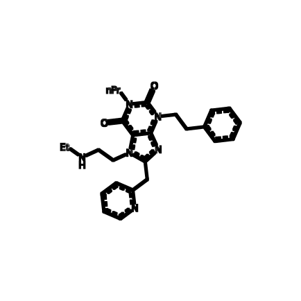 CCCn1c(=O)c2c(nc(Cc3ccccn3)n2CCNCC)n(CCc2ccccc2)c1=O